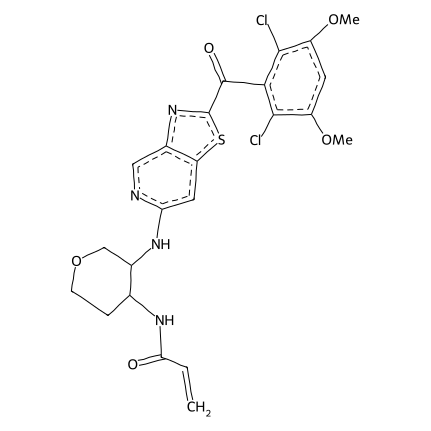 C=CC(=O)NC1CCOCC1Nc1cc2sc(C(=O)c3c(Cl)c(OC)cc(OC)c3Cl)nc2cn1